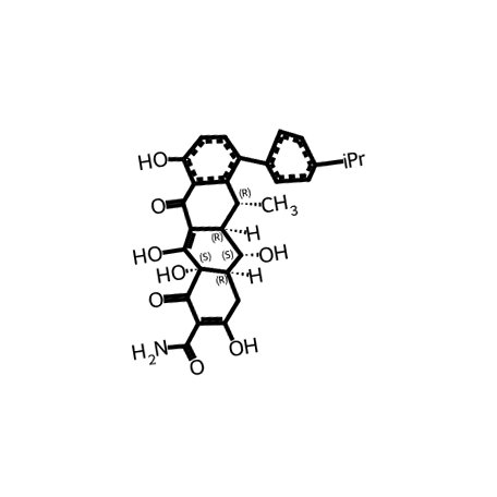 CC(C)c1ccc(-c2ccc(O)c3c2[C@H](C)[C@@H]2C(=C(O)[C@]4(O)C(=O)C(C(N)=O)=C(O)C[C@@H]4[C@H]2O)C3=O)cc1